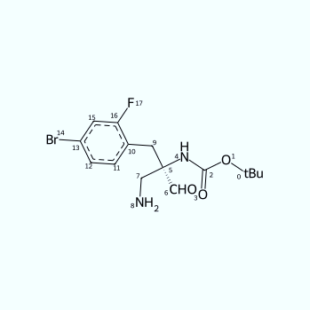 CC(C)(C)OC(=O)N[C@@](C=O)(CN)Cc1ccc(Br)cc1F